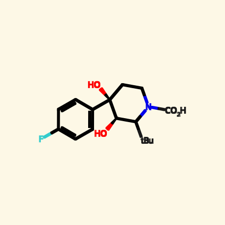 CC(C)(C)C1[C@@H](O)[C@](O)(c2ccc(F)cc2)CCN1C(=O)O